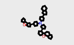 c1cc(-c2cccc3oc4c5ccccc5ccc4c23)cc(N(c2ccc(-c3ccc4ccccc4c3)cc2)c2ccc(-c3ccc4oc5ccccc5c4c3)cc2)c1